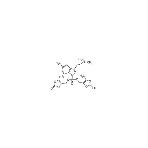 C=C1OC(C)=C(COP(=O)(OCc2oc(=O)oc2C)n2cc(CCN(C)C)c3cc(C)ccc32)O1